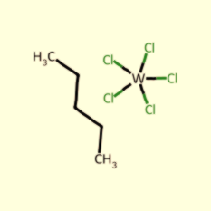 CCCCC.[Cl][W]([Cl])([Cl])([Cl])[Cl]